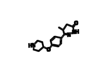 CC1CC(=O)NN=C1c1ccc(OC2CCNCC2)cc1